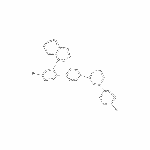 Brc1ccc(-c2cccc(-c3ccc(-c4ccc(Br)cc4-c4cccc5ccccc45)cc3)c2)cc1